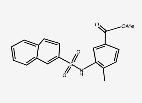 COC(=O)c1ccc(C)c(NS(=O)(=O)c2ccc3ccccc3c2)c1